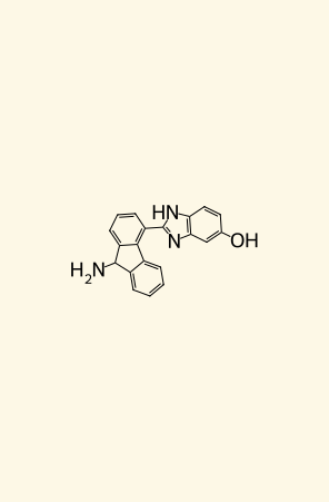 NC1c2ccccc2-c2c(-c3nc4cc(O)ccc4[nH]3)cccc21